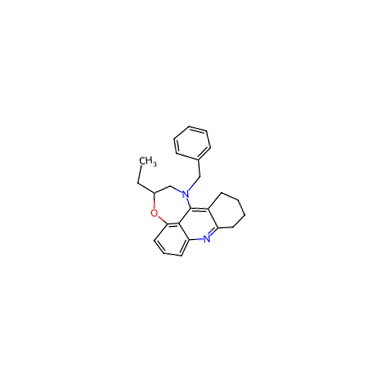 CCC1CN(Cc2ccccc2)c2c3c(nc4cccc(c24)O1)CCCC3